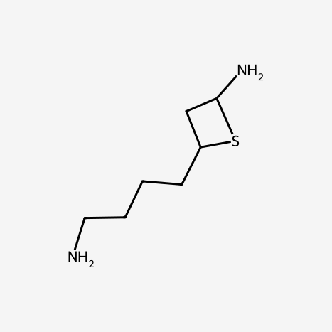 NCCCCC1CC(N)S1